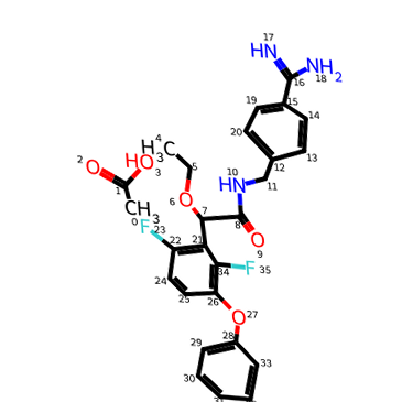 CC(=O)O.CCOC(C(=O)NCc1ccc(C(=N)N)cc1)c1c(F)ccc(Oc2ccccc2)c1F